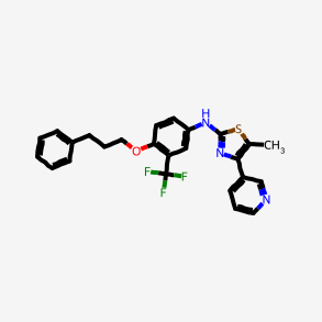 Cc1sc(Nc2ccc(OCCCc3ccccc3)c(C(F)(F)F)c2)nc1-c1cccnc1